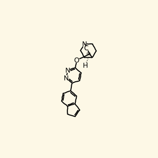 C1=Cc2cc(-c3ccc(O[C@H]4CN5CCC4CC5)nn3)ccc2C1